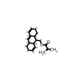 C=C(C)C(=O)OCC1C2CCC=CC2=CC2CCC=CC21